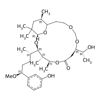 CO[C@@H](CC[C@H](C)[C@H]1O[C@H]2OC(CCOCO[C@@H]([C@@H](C)O)CC(=O)O[C@@H](C)[C@@H]1C)[C@H](C)CC2(C)C)c1cccc(O)c1